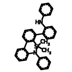 C[Si]1(C)c2c(-c3ccccc3Nc3ccccc3)cccc2-c2ccccc2N1c1ccccc1